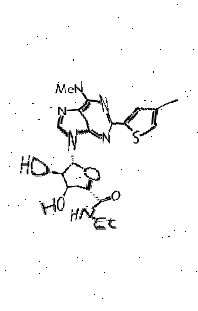 CCNC(=O)[C@H]1O[C@@H](n2cnc3c(NC)nc(-c4cc(C)cs4)nc32)[C@H](O)[C@@H]1O